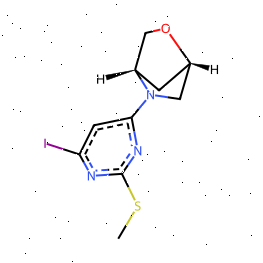 CSc1nc(I)cc(N2C[C@@H]3C[C@H]2CO3)n1